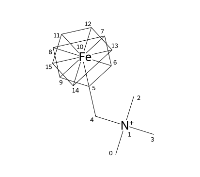 C[N+](C)(C)C[C]12[CH]3[CH]4[CH]5[CH]1[Fe]45321678[CH]2[CH]1[CH]6[CH]7[CH]28